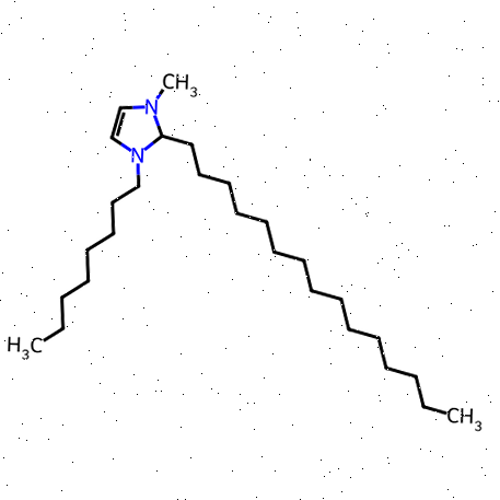 CCCCCCCCCCCCCCCC1N(C)C=CN1CCCCCCCC